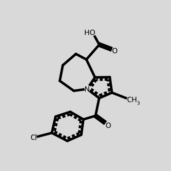 Cc1cc2n(c1C(=O)c1ccc(Cl)cc1)CCCCC2C(=O)O